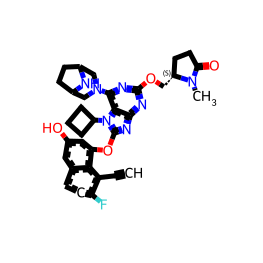 C#Cc1c(F)ccc2cc(O)cc(Oc3nc4nc(OC[C@@H]5CCC(=O)N5C)nc(N5CC6CCC(C5)N6)c4n3C3CCC3)c12